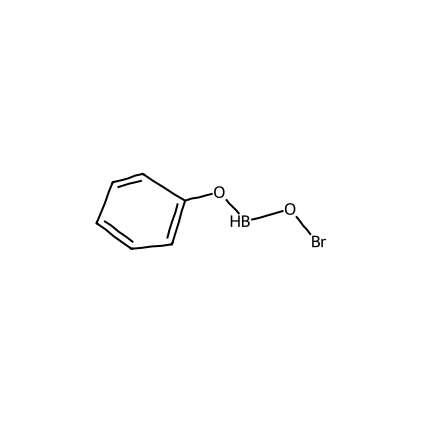 BrOBOc1ccccc1